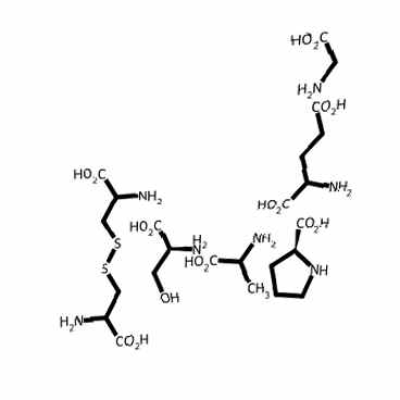 CC(N)C(=O)O.NC(CCC(=O)O)C(=O)O.NC(CO)C(=O)O.NC(CSSCC(N)C(=O)O)C(=O)O.NCC(=O)O.O=C(O)[C@@H]1CCCN1